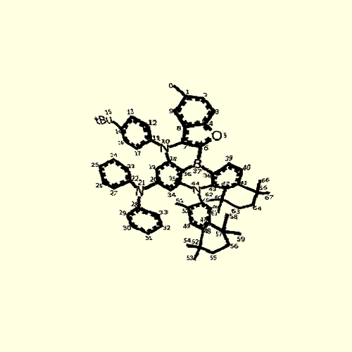 Cc1ccc2oc3c(c2c1)N(c1ccc(C(C)(C)C)cc1)c1cc(N(c2ccccc2)c2ccccc2)cc2c1B3c1ccc3c(c1N2c1cc2c(cc1C)C(C)(C)CCC2(C)C)C(C)(C)CCC3(C)C